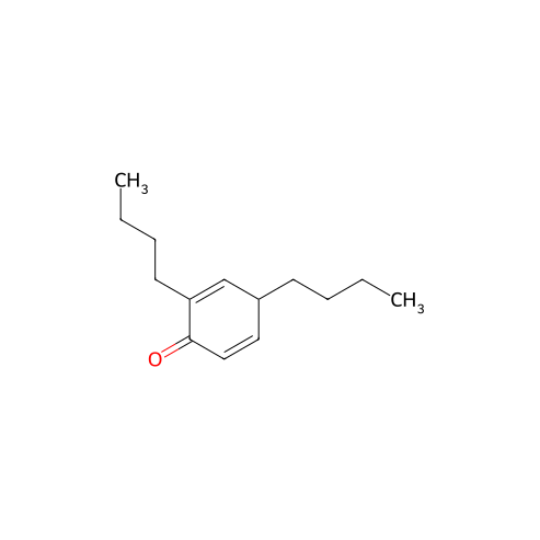 CCCCC1=CC(CCCC)C=CC1=O